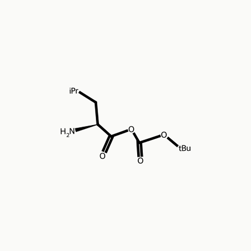 CC(C)C[C@H](N)C(=O)OC(=O)OC(C)(C)C